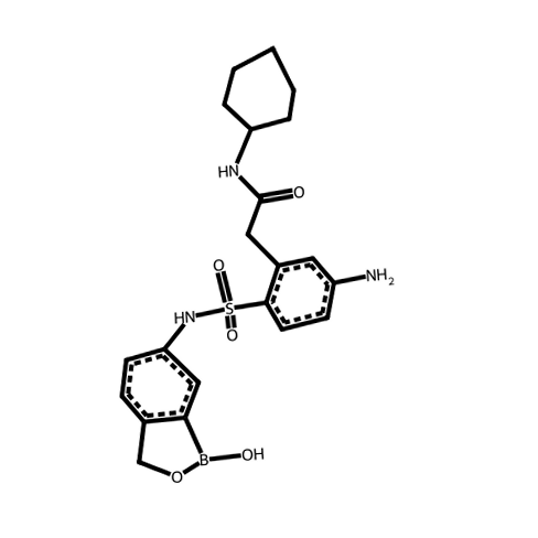 Nc1ccc(S(=O)(=O)Nc2ccc3c(c2)B(O)OC3)c(CC(=O)NC2CCCCC2)c1